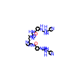 CC(CCc1ncccc1CNC(=O)c1cccc(NCc2nnc(-c3ccncc3)[nH]2)c1)n1ncnc1CNC(=O)c1cccc(NCc2nnc(-c3ccncc3)[nH]2)c1